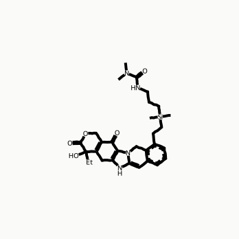 CCC1(O)C(=O)OCC2=C1CC1=C(C2=O)N2Cc3c(cccc3CC[Si](C)(C)CCCNC(=O)N(C)C)C=C2N1